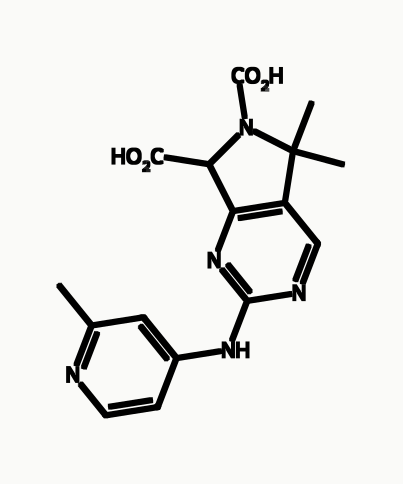 Cc1cc(Nc2ncc3c(n2)C(C(=O)O)N(C(=O)O)C3(C)C)ccn1